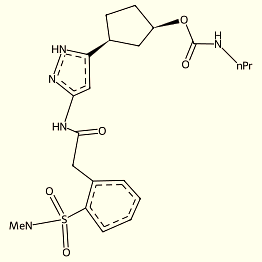 CCCNC(=O)O[C@@H]1CC[C@H](c2cc(NC(=O)Cc3ccccc3S(=O)(=O)NC)n[nH]2)C1